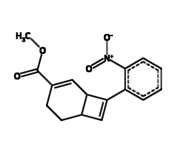 COC(=O)C1=CC2C(c3ccccc3[N+](=O)[O-])=CC2CC1